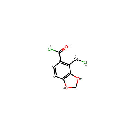 O=C(Cl)c1ccc2c(c1[Se]Cl)OCO2